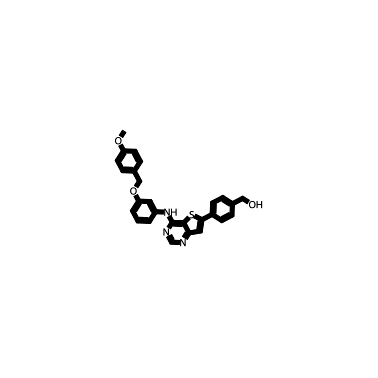 COc1ccc(COc2cccc(Nc3ncnc4cc(-c5ccc(CO)cc5)sc34)c2)cc1